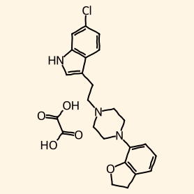 Clc1ccc2c(CCN3CCN(c4cccc5c4OCC5)CC3)c[nH]c2c1.O=C(O)C(=O)O